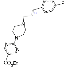 CCOC(=O)c1cnc(N2CCN(C/C=C/c3ccc(F)cc3)CC2)nc1